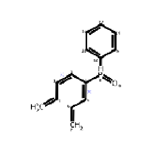 C=C/C=C\C(=C/C=C)[PH](=O)c1ccccc1